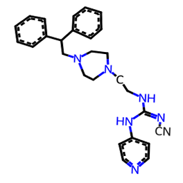 N#CN=C(NCCN1CCN(CC(c2ccccc2)c2ccccc2)CC1)Nc1ccncc1